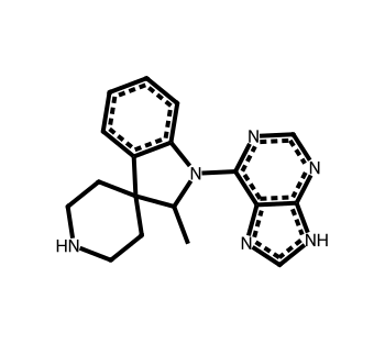 CC1N(c2ncnc3[nH]cnc23)c2ccccc2C12CCNCC2